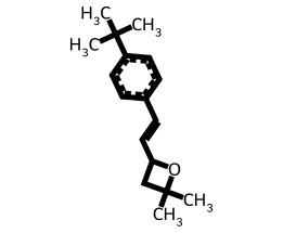 CC1(C)CC(/C=C/c2ccc(C(C)(C)C)cc2)O1